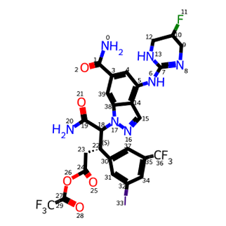 NC(=O)c1cc(NC2=NCC(F)CN2)c2cnn(C(C(N)=O)[C@@H](CC(=O)OC(=O)C(F)(F)F)c3cc(I)cc(C(F)(F)F)c3)c2c1